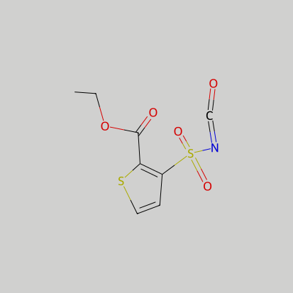 CCOC(=O)c1sccc1S(=O)(=O)N=C=O